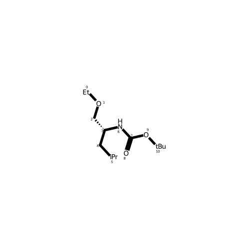 CCOC[C@@H](CC(C)C)NC(=O)OC(C)(C)C